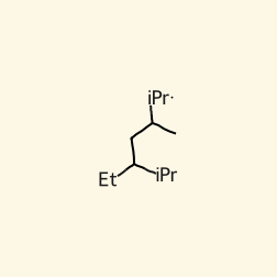 CCC(CC(C)[C](C)C)C(C)C